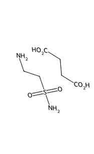 NCCS(N)(=O)=O.O=C(O)CCC(=O)O